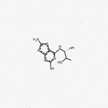 CCC[C@@H](Nc1nc(S)nc2nc(N)sc12)C(C)O